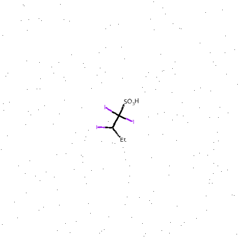 CCC(I)C(I)(I)S(=O)(=O)O